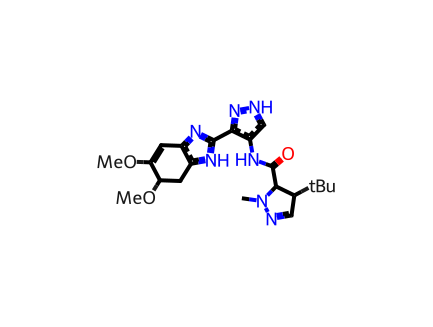 COC1=Cc2nc(-c3n[nH]cc3NC(=O)C3C(C(C)(C)C)C=NN3C)[nH]c2CC1OC